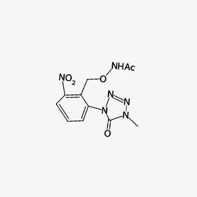 CC(=O)NOCc1c(-n2nnn(C)c2=O)cccc1[N+](=O)[O-]